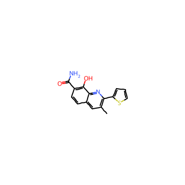 Cc1cc2ccc(C(N)=O)c(O)c2nc1-c1cccs1